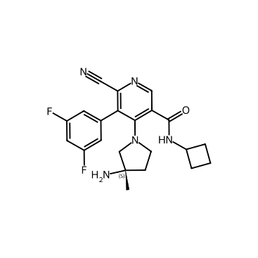 C[C@]1(N)CCN(c2c(C(=O)NC3CCC3)cnc(C#N)c2-c2cc(F)cc(F)c2)C1